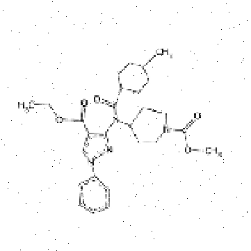 CCOC(=O)c1cn(-c2ccccc2)nc1N(C(=O)C1CCC(C)CC1)C1CCN(C(=O)OC)CC1